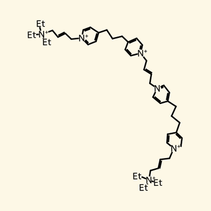 CC[N+](CC)(CC)C/C=C/C[n+]1ccc(CCCc2cc[n+](C/C=C/C[n+]3ccc(CCCc4cc[n+](C/C=C/C[N+](CC)(CC)CC)cc4)cc3)cc2)cc1